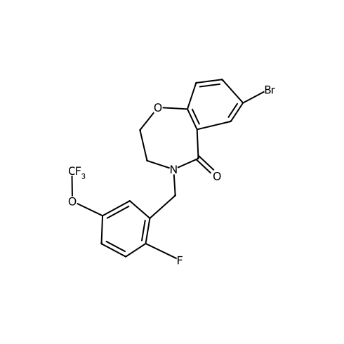 O=C1c2cc(Br)ccc2OCCN1Cc1cc(OC(F)(F)F)ccc1F